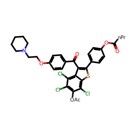 CCCC(=O)Oc1ccc(-c2sc3c(Cl)c(OC(C)=O)c(Cl)c(Cl)c3c2C(=O)c2ccc(OCCN3CCCCC3)cc2)cc1